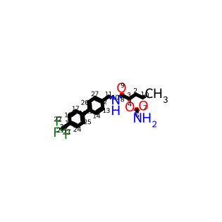 CCCC(OC(N)=O)C(=O)NCc1ccc(-c2ccc(C(F)(F)F)cc2)cc1